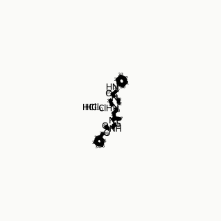 Cl.Cl.Cl.O=C(Nc1nc(CCN2CCN(C(=O)CNc3ccccc3)CC2)cs1)OCc1ccccc1